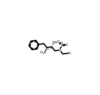 CC(C)CN(C[C@@H](O)[C@@H](N)Cc1ccccc1)[SH](=O)=O